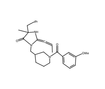 CC=C=C1NC(C)(CC(C)C)C(=O)N1CC1CCCN(C(=O)c2cccc(OC)c2)C1